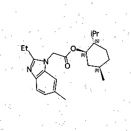 CCc1nc2ccc(C)cc2n1CC(=O)O[C@@H]1C[C@H](C)CC[C@H]1C(C)C